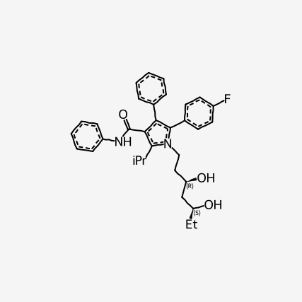 CC[C@H](O)C[C@H](O)CCn1c(-c2ccc(F)cc2)c(-c2ccccc2)c(C(=O)Nc2ccccc2)c1C(C)C